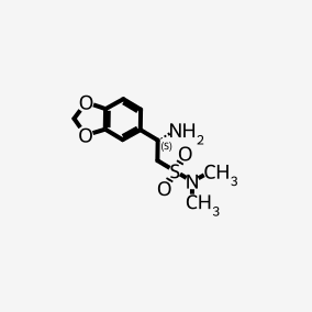 CN(C)S(=O)(=O)C[C@@H](N)c1ccc2c(c1)OCO2